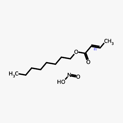 C/C=C/C(=O)OCCCCCCCC.O=NO